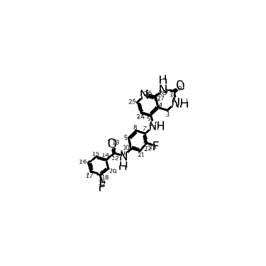 O=C1NCc2c(Nc3ccc(NC(=O)c4cccc(F)c4)cc3F)ccnc2N1